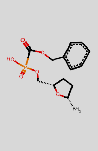 B[C@H]1CC[C@@H](COP(=O)(O)C(=O)OCc2ccccc2)O1